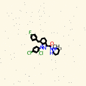 C[N+]1(NC(=O)c2nn(-c3ccc(Cl)cc3Cl)c3c2CCCC3=Cc2ccc(F)cc2)CCCCC1